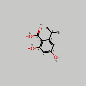 CC(C)c1cc(O)cc(O)c1C(=O)O